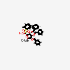 CO[C@@H]1O[C@H](C(O)S(=O)(=O)c2ccccc2C)[C@H](OCc2ccccc2)[C@H](OCc2ccccc2)[C@H]1OCc1ccccc1